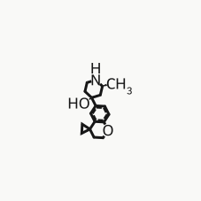 C[C@H]1C[C@@](O)(c2ccc3c(c2)C2(CCO3)CC2)CCN1